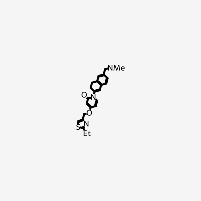 CCc1nc(COc2ccn(C3=Cc4ccc(CNC)cc4CC3)c(=O)c2)cs1